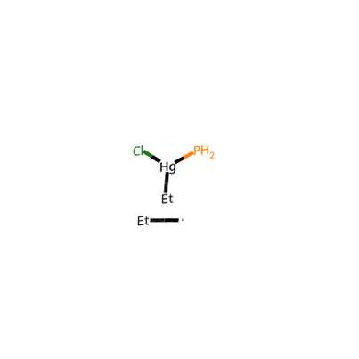 C[CH2][Hg]([PH2])[Cl].[CH2]CC